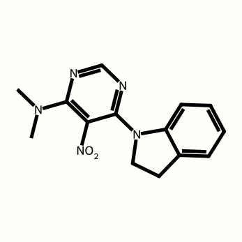 CN(C)c1ncnc(N2CCc3ccccc32)c1[N+](=O)[O-]